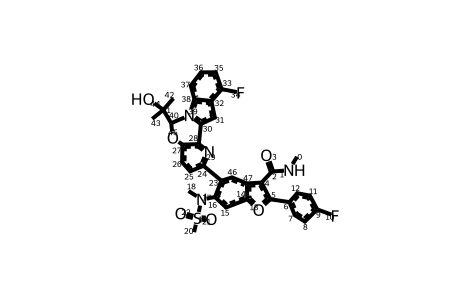 CNC(=O)c1c(-c2ccc(F)cc2)oc2cc(N(C)S(C)(=O)=O)c(-c3ccc4c(n3)-c3cc5c(F)cccc5n3C(C(C)(C)O)O4)cc12